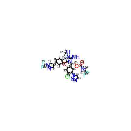 CC(C)(C)C[C@]1(c2ccc(-c3cnn(C(F)F)c3)cc2)NC(=N)N([C@H](COC(=O)N2CC(F)(F)C2)c2ccc(Cl)c(-n3ccnn3)c2)C1=O